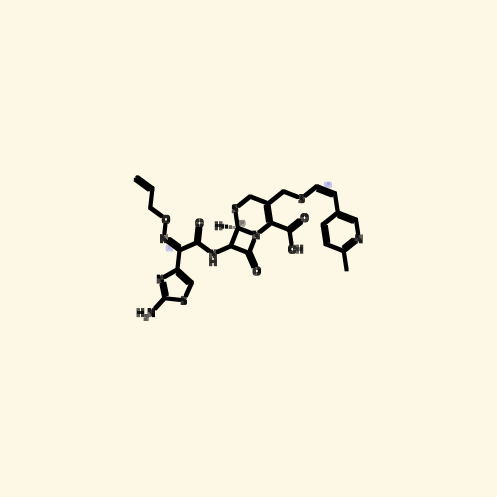 C=CCO/N=C(\C(=O)NC1C(=O)N2C(C(=O)O)=C(CS/C=C\c3ccc(C)nc3)CS[C@H]12)c1csc(N)n1